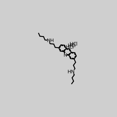 CCCCNCCCc1ccc2cc3ccc(CCCNCCCC)cc3nc2c1.Cl.Cl.Cl